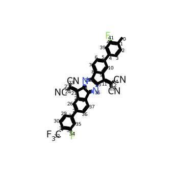 Cc1ccc(-c2ccc3c(c2)C(=C(C#N)C#N)c2nc4c(nc2-3)C(=C(C#N)C#N)c2cc(-c3ccc(C(F)(F)F)c(F)c3)ccc2-4)cc1F